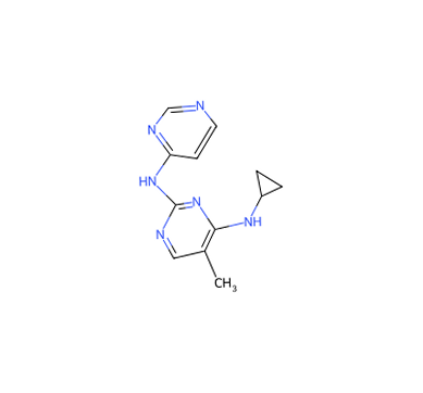 Cc1cnc(Nc2ccncn2)nc1NC1CC1